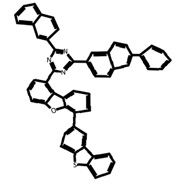 c1ccc(-c2ccc3cc(-c4nc(-c5ccc6ccccc6c5)nc(-c5cccc6oc7c(-c8ccc9sc%10ccccc%10c9c8)cccc7c56)n4)ccc3c2)cc1